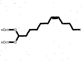 CCCCCCCCOC(CCCCC/C=C\CCCI)OCCCCCCCC